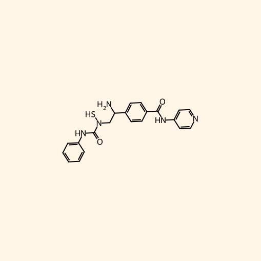 NC(CN(S)C(=O)Nc1ccccc1)c1ccc(C(=O)Nc2ccncc2)cc1